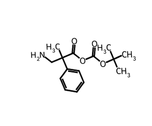 CC(C)(C)OC(=O)OC(=O)C(C)(CN)c1ccccc1